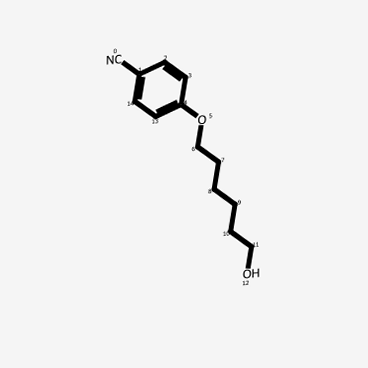 N#Cc1ccc(OCCCCCCO)cc1